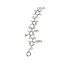 COc1cc(OCc2ccccc2)cc(C)c1C(=O)Oc1c(C)c(O)c(C(=O)Oc2cc(C)c(C(=O)Oc3c(C)c(C)c(C(=O)O)c(C)c3C)c(C)c2C)c(C)c1Br